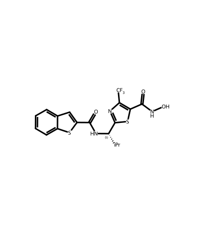 CC(C)[C@H](NC(=O)c1cc2ccccc2s1)c1nc(C(F)(F)F)c(C(=O)NO)s1